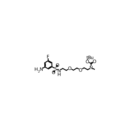 CN(CCOCCOCCNS(=O)(=O)c1cc(N)cc(F)c1)C(=O)OC(C)(C)C